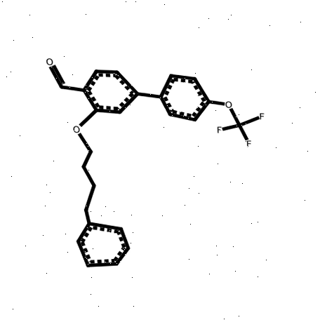 O=Cc1ccc(-c2ccc(OC(F)(F)F)cc2)cc1OCCCCc1ccccc1